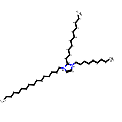 CCCCCCCCCCCCCCCCN1C=CN(CCCCCCCCC)C1CCCCCCCCCCC